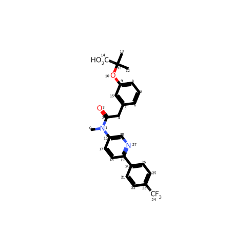 CN(C(=O)Cc1cccc(OC(C)(C)C(=O)O)c1)c1ccc(-c2ccc(C(F)(F)F)cc2)nc1